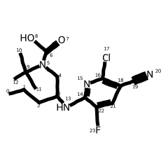 CCCC(CN(C(=O)O)C(C)(C)C)Nc1nc(Cl)c(C#N)cc1F